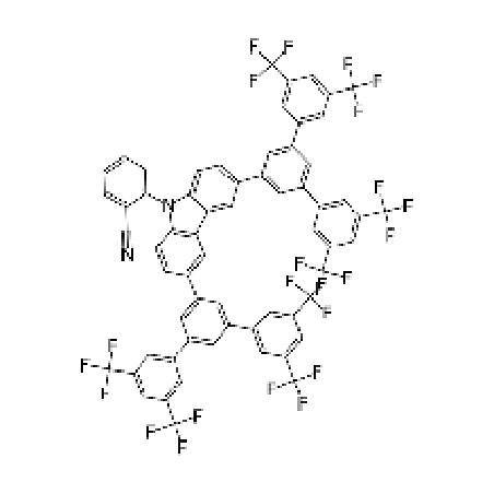 N#Cc1ccccc1-n1c2ccc(-c3cc(-c4cc(C(F)(F)F)cc(C(F)(F)F)c4)cc(-c4cc(C(F)(F)F)cc(C(F)(F)F)c4)c3)cc2c2cc(-c3cc(-c4cc(C(F)(F)F)cc(C(F)(F)F)c4)cc(-c4cc(C(F)(F)F)cc(C(F)(F)F)c4)c3)ccc21